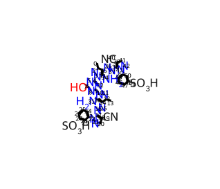 Cc1nn(-c2nc(O)nc(-n3nc(C)c(N=Nc4c(C#N)cnn4-c4ccccc4S(=O)(=O)O)c3N)n2)c(N)c1N=Nc1c(C#N)cnn1-c1cccc(S(=O)(=O)O)c1